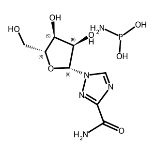 NC(=O)c1ncn([C@@H]2O[C@H](CO)[C@@H](O)[C@H]2O)n1.NP(O)O